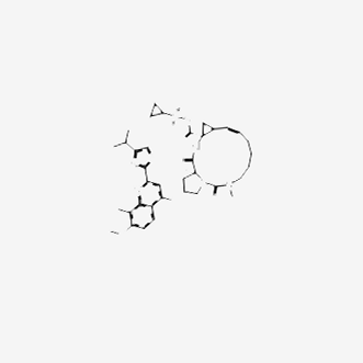 COc1ccc2c(O[C@@H]3C[C@H]4C(=O)N[C@]5(C(=O)NS(=O)(=O)C6CC6)CC5/C=C\CCCCN(C)C(=O)N4C3)cc(-c3nc(C(C)C)cs3)nc2c1C